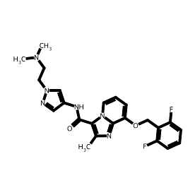 Cc1nc2c(OCc3c(F)cccc3F)cccn2c1C(=O)Nc1cnn(CCN(C)C)c1